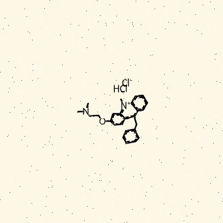 CN(C)CCOc1ccc2c(Cc3ccccc3)c3ccccc3[n+](C)c2c1.Cl.[Cl-]